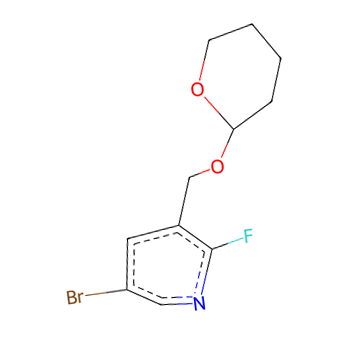 Fc1ncc(Br)cc1COC1CCCCO1